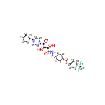 O=C(NCc1ccc(OCc2ccc(C(F)(F)F)cc2)cc1)[C@H](O)[C@@H](O)C(=O)N1CCN(c2ccccc2)CC1